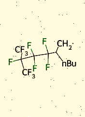 [CH2]C(CCCC)C(F)(F)C(F)(F)C(F)(C(F)(F)F)C(F)(F)F